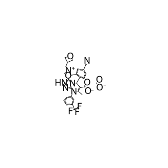 COC(=O)C1=C(C)N(c2cccc(C(F)(F)F)c2)c2n[nH]c(=O)n2C1c1ccc(C#N)cc1C[N+](C)(C)CC1COC1.O=C[O-]